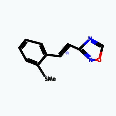 CSc1ccccc1/C=C/c1ncon1